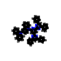 c1ccc(-c2cc(-c3ccccc3)nc(-c3cc(-c4nc(-c5ccccc5)cc(-c5ccccc5)n4)nc(-n4c5ccccc5c5cc(-n6c7ccccc7c7ccccc76)ccc54)c3)n2)cc1